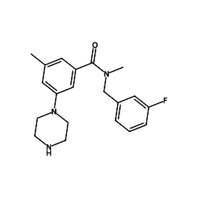 Cc1cc(C(=O)N(C)Cc2cccc(F)c2)cc(N2CCNCC2)c1